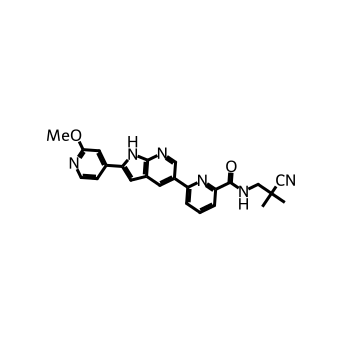 COc1cc(-c2cc3cc(-c4cccc(C(=O)NCC(C)(C)C#N)n4)cnc3[nH]2)ccn1